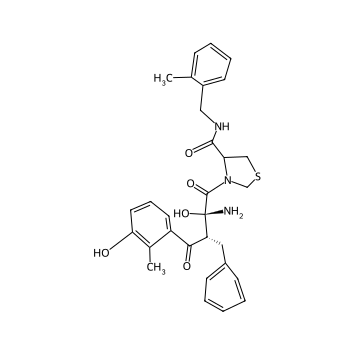 Cc1ccccc1CNC(=O)C1CSCN1C(=O)[C@@](N)(O)[C@H](Cc1ccccc1)C(=O)c1cccc(O)c1C